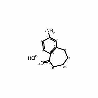 Cl.Nc1ccc2c(c1)CCCCC2=O